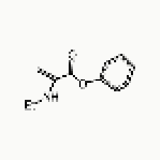 C=C(NCC)C(=O)Oc1ccccc1